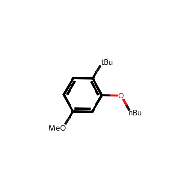 CCCCOc1cc(OC)ccc1C(C)(C)C